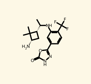 CC(Nc1cc(-c2n[nH]c(=O)o2)ccc1C(F)(F)F)[C@@H]1C[C@H](N)C1(C)C